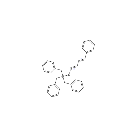 C(=C\c1ccccc1)/C=N/O[Si](Cc1ccccc1)(Cc1ccccc1)Cc1ccccc1